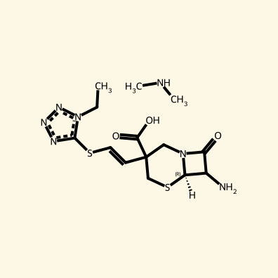 CCn1nnnc1SC=CC1(C(=O)O)CS[C@@H]2C(N)C(=O)N2C1.CNC